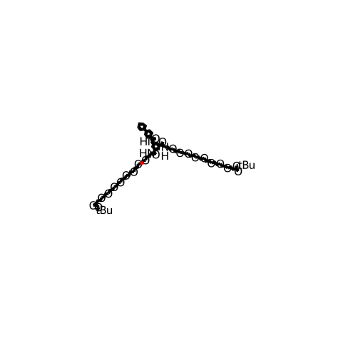 CC(C)(C)OC(=O)CCOCCOCCOCCOCCOCCOCCOCCOCCNC(=O)c1cc(NC(=O)c2ccc(-c3ccccc3)cc2)cc(C(=O)NCCOCCOCCOCCOCCOCCOCCOCCOCCC(=O)OC(C)(C)C)c1